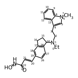 CCN(CCc1cn(C)c2ccccc12)C1CCc2cc(C=CC(=O)NO)ccc21